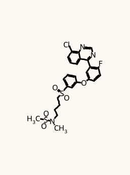 CN(CCCCS(=O)(=O)c1cccc(Oc2ccc(F)c(-c3ncnc4c(Cl)cccc34)c2)c1)S(C)(=O)=O